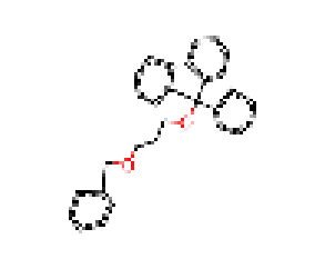 c1ccc(COCCCOC(c2ccccc2)(c2ccccc2)c2ccccc2)cc1